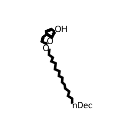 CCCCCCCCCCCCCCCCCCCCCCCCCCOC(=O)/C=C\c1ccc(O)cc1